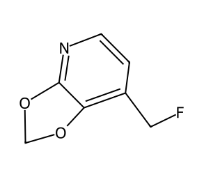 FCc1ccnc2c1OCO2